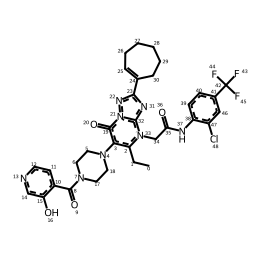 CCc1c(N2CCN(C(=O)c3ccncc3O)CC2)c(=O)n2nc(C3=CCCCCC3)nc2n1CC(=O)Nc1ccc(C(F)(F)F)cc1Cl